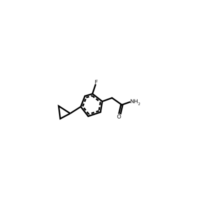 NC(=O)Cc1ccc(C2CC2)cc1F